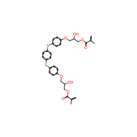 C=C(C)C(=O)OCC(O)COc1ccc(Sc2ccc(Sc3ccc(OCC(O)COC(=O)C(=C)C)cc3)cc2)cc1